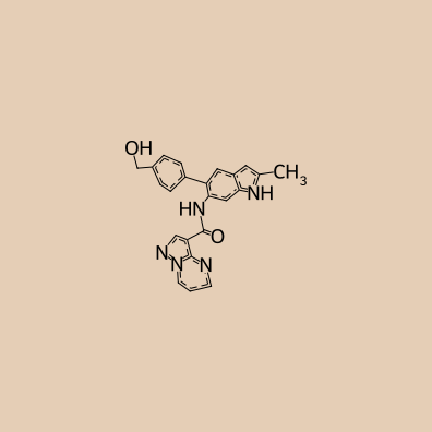 Cc1cc2cc(-c3ccc(CO)cc3)c(NC(=O)c3cnn4cccnc34)cc2[nH]1